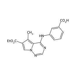 CCOC(=O)c1cn2ncnc(Nc3cccc(C(=O)O)c3)c2c1C